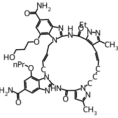 CCCOc1cc(C(N)=O)cc2nc3n(c12)C/C=C/Cn1c(nc2cc(C(N)=O)cc(OCCCO)c21)NC(=O)c1c(c(C)nn1CC)/C=C\CCCn1nc(C)cc1C(=O)N3